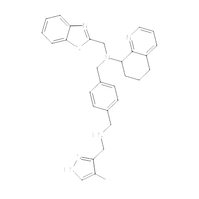 Brc1c[nH]nc1CNCc1ccc(CN(Cc2nc3ccccc3[nH]2)C2CCCc3cccnc32)cc1